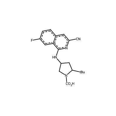 CC(C)(C)C1CC(Nc2nc(C#N)cc3ccc(F)cc23)CN1C(=O)O